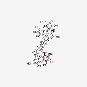 C=C1C[C@@]23CC[C@H]4[C@@](C)(CCC[C@@]4(C)C(=O)OC4O[C@H](CO)[C@@H](O)[C@H](O[C@@H]5O[C@H](CO)[C@@H](O)[C@H](O)[C@H]5O)[C@H]4O[C@@H]4O[C@H](CO)[C@@H](O)[C@H](O)[C@H]4O)[C@@H]2CC[C@]1(O[C@@H]1O[C@H](CO)[C@@H](O)[C@H](O[C@@H]2O[C@H](CO)[C@@H](O)[C@H](O)[C@H]2O)[C@H]1O[C@@H]1O[C@H](CO)[C@@H](C)[C@H](O)[C@H]1O)C3